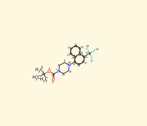 CC(C)(C)OC(=O)N1CCN(c2ccc(C(F)(F)F)c3ccccc23)CC1